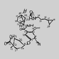 COc1cc(C#N)c(O[C@H]2CC[C@@](C)(C(=O)O)CC2)cc1C(=O)N[C@@H]1[C@H]2CC[C@H](C2)[C@@H]1C(=O)NCCCC1CC1